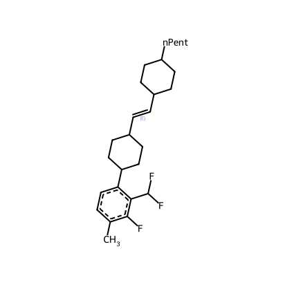 CCCCCC1CCC(/C=C/C2CCC(c3ccc(C)c(F)c3C(F)F)CC2)CC1